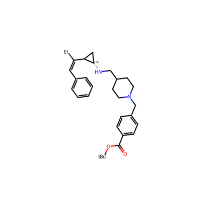 CCC(=Cc1ccccc1)C1C[C@@H]1NCC1CCN(Cc2ccc(C(=O)OC(C)(C)C)cc2)CC1